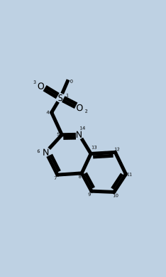 CS(=O)(=O)Cc1ncc2ccccc2n1